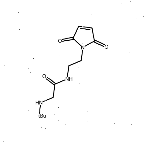 CC(C)(C)NCC(=O)NCCN1C(=O)C=CC1=O